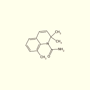 Cc1cccc2c1N(C(N)=O)C(C)(C)C=C2